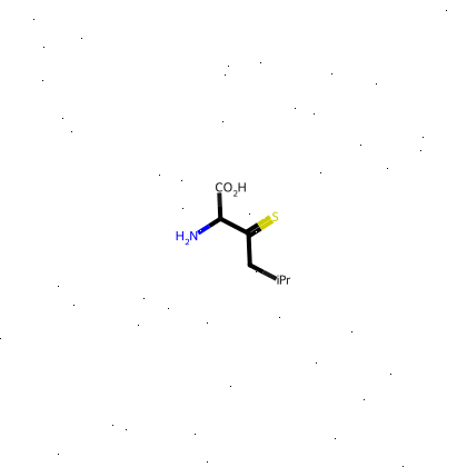 CC(C)CC(=S)C(N)C(=O)O